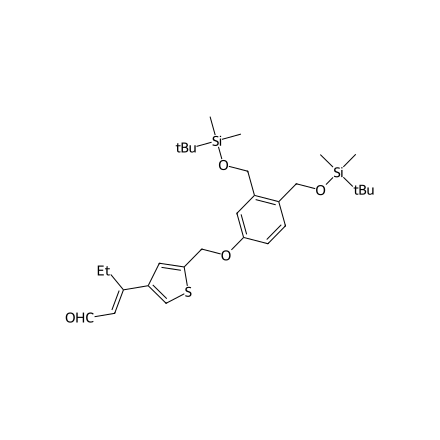 CC/C(=C\C=O)c1csc(COc2ccc(CO[Si](C)(C)C(C)(C)C)c(CO[Si](C)(C)C(C)(C)C)c2)c1